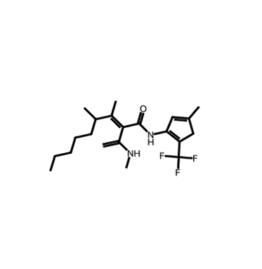 C=C(NC)/C(C(=O)NC1=C(C(F)(F)F)CC(C)=C1)=C(/C)C(C)CCCCC